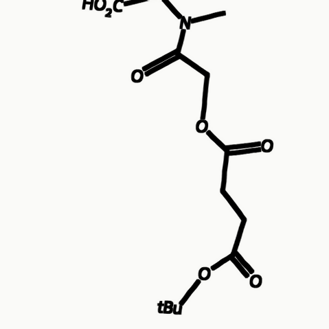 CN(CC(=O)O)C(=O)COC(=O)CCC(=O)OC(C)(C)C